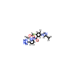 CC(=O)OCC(C)n1nnnc1-c1cccc(NC(=O)c2cc(-n3cnc(C4CC4)c3)c(C)cc2F)n1